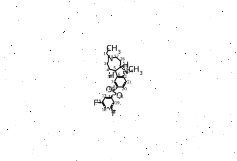 CCN1CC[C@@H]2c3cc(S(=O)(=O)c4cc(F)cc(F)c4)ccc3N(C)[C@H]2CC1